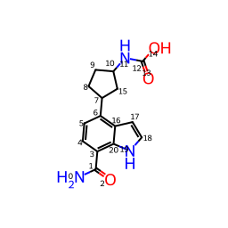 NC(=O)c1ccc(C2CCC(NC(=O)O)C2)c2cc[nH]c12